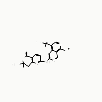 CC(C)Oc1ncc(C(C)(C)N)c2cc(Nc3ccc4c(n3)CC(C)(C)OC4=O)ncc12